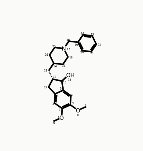 COc1cc2c(cc1OC)C(O)[C@@H](CC1CCN(Cc3ccccc3)CC1)C2